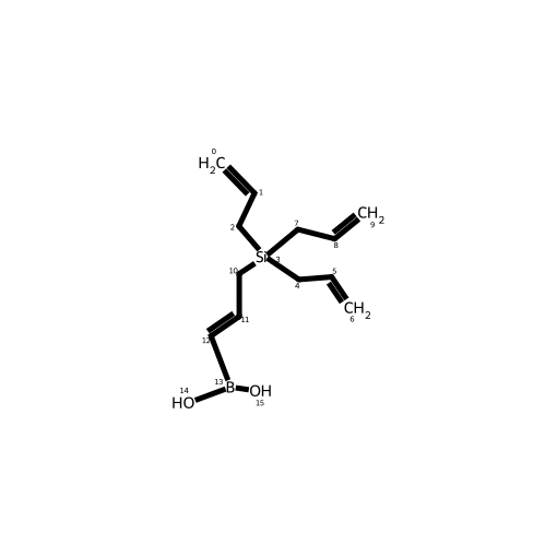 C=CC[Si](CC=C)(CC=C)CC=CB(O)O